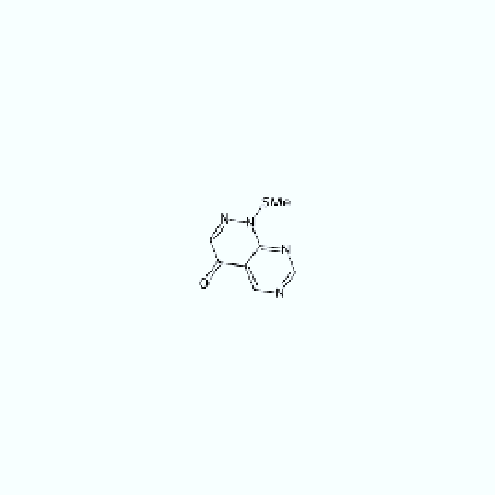 CSn1ncc(=O)c2cncnc21